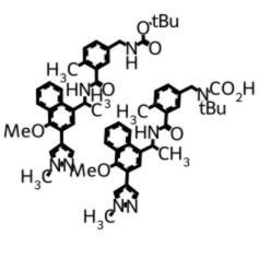 COc1c(-c2cnn(C)c2)cc(C(C)NC(=O)c2cc(CN(C(=O)O)C(C)(C)C)ccc2C)c2ccccc12.COc1c(-c2cnn(C)c2)cc(C(C)NC(=O)c2cc(CNC(=O)OC(C)(C)C)ccc2C)c2ccccc12